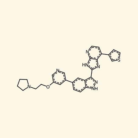 c1cc(-c2ccsc2)c2nc(-c3n[nH]c4ccc(-c5cncc(OCCN6CCCC6)c5)cc34)[nH]c2n1